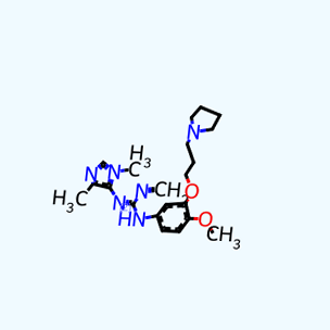 C=N/C(=N\c1c(C)ncn1C)Nc1ccc(OC)c(OCCCN2CCCC2)c1